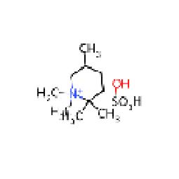 CC1CCC(C)(C)[N+](C)(C)C1.O=S(=O)(O)O